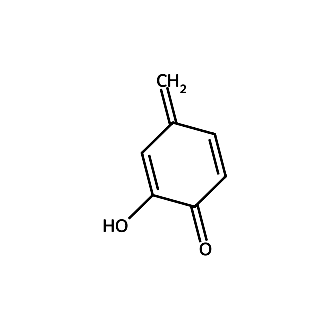 C=C1C=CC(=O)C(O)=C1